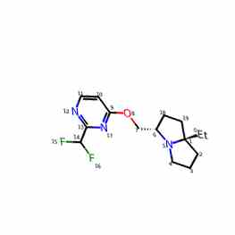 CC[C@@]12CCCN1[C@H](COc1ccnc(C(F)F)n1)CC2